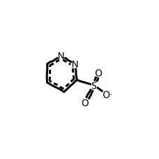 [O]S(=O)(=O)c1cccnn1